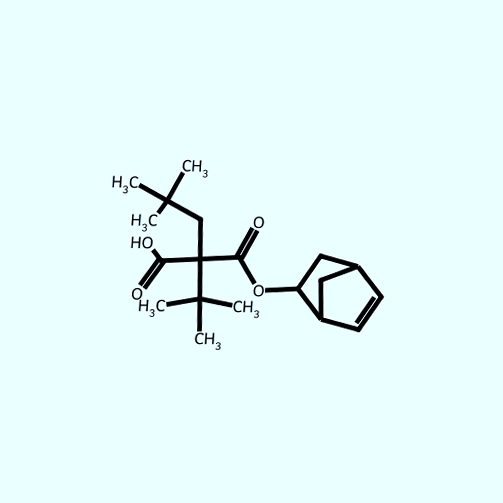 CC(C)(C)CC(C(=O)O)(C(=O)OC1CC2C=CC1C2)C(C)(C)C